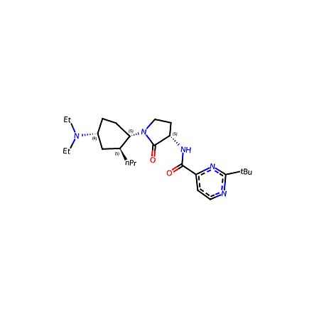 CCC[C@H]1C[C@H](N(CC)CC)CC[C@@H]1N1CC[C@H](NC(=O)c2ccnc(C(C)(C)C)n2)C1=O